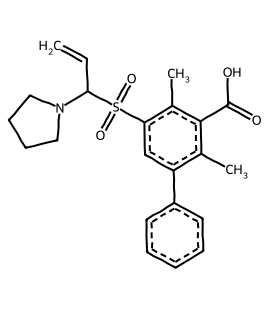 C=CC(N1CCCC1)S(=O)(=O)c1cc(-c2ccccc2)c(C)c(C(=O)O)c1C